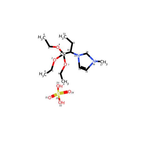 CCO[Si](OCC)(OCC)C(CC)N1C=CN(C)C1.O=S(=O)(O)O